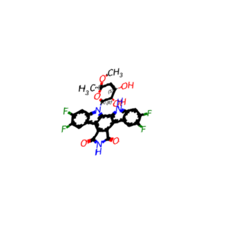 CO[C@@]1(C)C[C@H](O)[C@@H](O)[C@H](n2c3cc(F)c(F)cc3c3c4c(c5c6cc(F)c(F)cc6[nH]c5c32)C(=O)NC4=O)O1